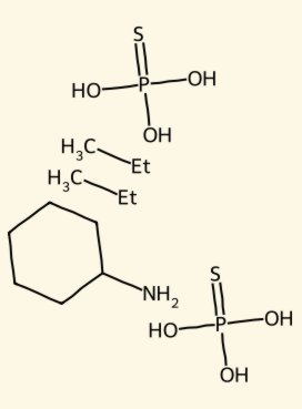 CCC.CCC.NC1CCCCC1.OP(O)(O)=S.OP(O)(O)=S